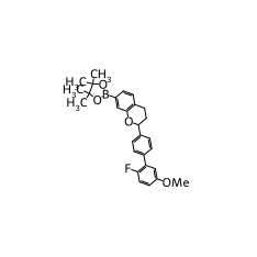 COc1ccc(F)c(-c2ccc(C3CCc4ccc(B5OC(C)(C)C(C)(C)O5)cc4O3)cc2)c1